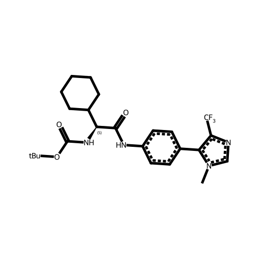 Cn1cnc(C(F)(F)F)c1-c1ccc(NC(=O)[C@@H](NC(=O)OC(C)(C)C)C2CCCCC2)cc1